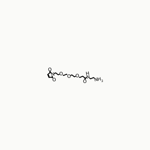 NCCNC(=O)CCOCCOCCOCCN1C(=O)C=CC1=O